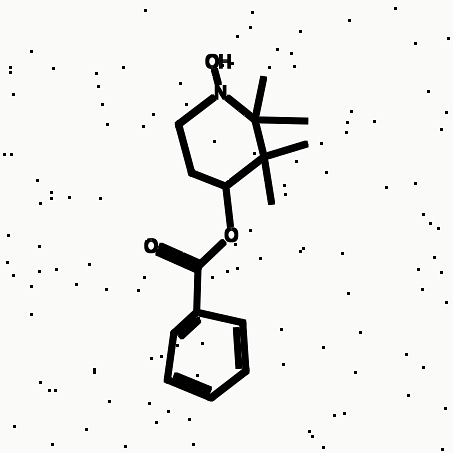 CC1(C)C(OC(=O)c2ccccc2)CCN(O)C1(C)C